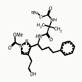 COC(=O)n1cc(CCO)c(C(CCCc2ccccc2)NC(=O)C(C)(C)NC(=O)OC(C)(C)C)n1